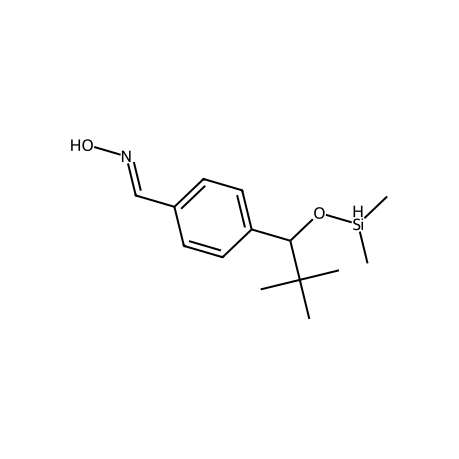 C[SiH](C)OC(c1ccc(C=NO)cc1)C(C)(C)C